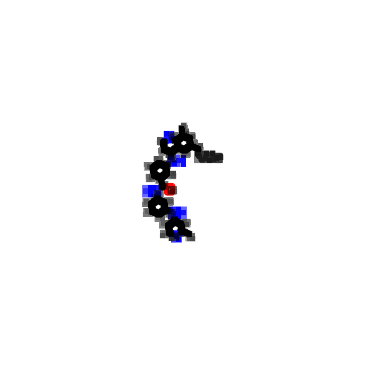 CNCc1cc(C)c2nccc(Nc3cccc(C(=O)Nc4cccc(Nc5ccnc(C)c5)c4)c3)c2c1